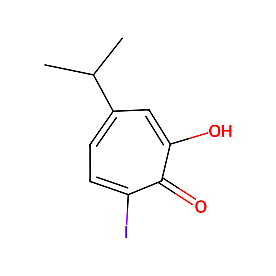 CC(C)c1ccc(I)c(=O)c(O)c1